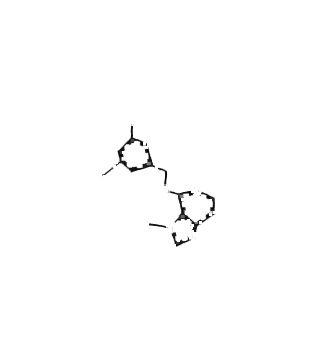 Cn1cnc2ccnc(OCc3cc(Cl)cc(Cl)c3)c21